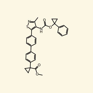 COC(=O)C1(c2ccc(-c3ccc(-c4snc(C)c4NC(=O)OC4(c5ccccc5)CC4)cc3)cc2)CC1